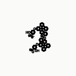 O=[N+]([O-])c1ccc(Oc2ccc(C3(c4ccc(O[Si](Oc5ccc(C6(c7ccc(Oc8ccc([N+](=O)[O-])c(O)c8)cc7)c7ccccc7-c7ccccc76)cc5)(c5ccccc5)c5ccccc5)cc4)c4ccccc4-c4ccccc43)cc2)cc1O